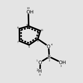 [2H]OB(O)Oc1cccc(O)c1